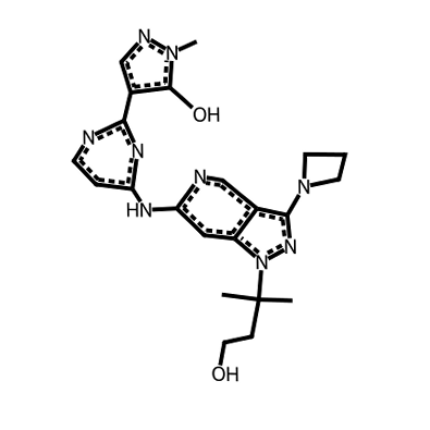 Cn1ncc(-c2nccc(Nc3cc4c(cn3)c(N3CCC3)nn4C(C)(C)CCO)n2)c1O